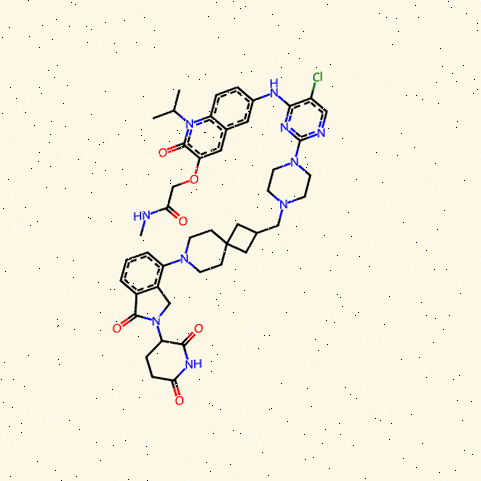 CNC(=O)COc1cc2cc(Nc3nc(N4CCN(CC5CC6(CCN(c7cccc8c7CN(C7CCC(=O)NC7=O)C8=O)CC6)C5)CC4)ncc3Cl)ccc2n(C(C)C)c1=O